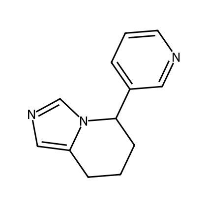 c1cncc(C2CCCc3cncn32)c1